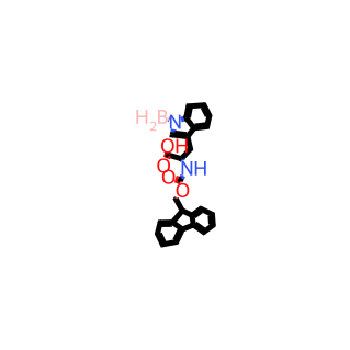 Bn1cc(CC(NC(=O)OCC2c3ccccc3-c3ccccc32)C(=O)O)c2ccccc21